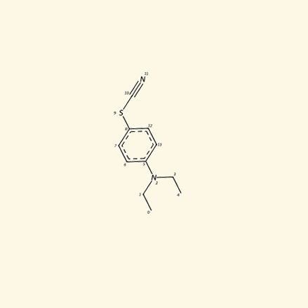 CCN(CC)c1ccc(SC#N)cc1